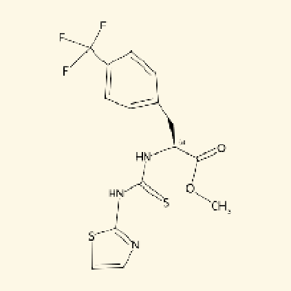 COC(=O)[C@H](Cc1ccc(C(F)(F)F)cc1)NC(=S)Nc1nccs1